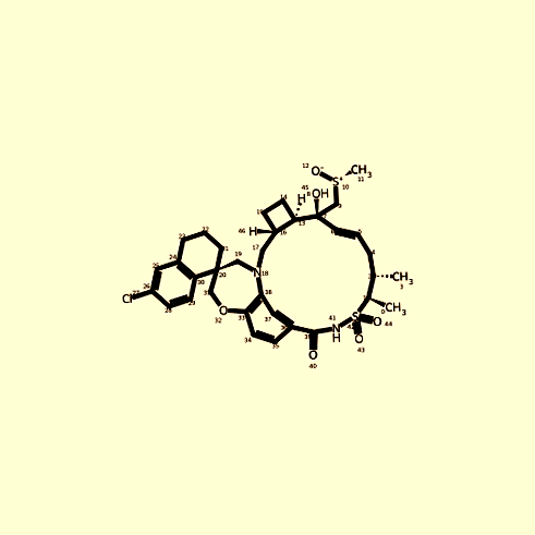 C[C@@H]1[C@@H](C)C/C=C/[C@@](O)(C[S@@+](C)[O-])[C@@H]2CC[C@H]2CN2C[C@@]3(CCCc4cc(Cl)ccc43)COc3ccc(cc32)C(=O)NS1(=O)=O